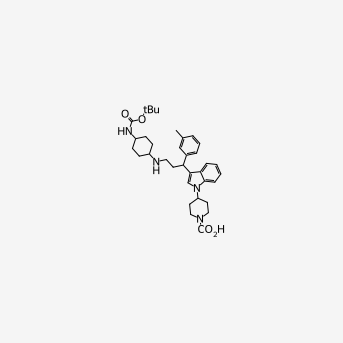 Cc1cccc(C(CCNC2CCC(NC(=O)OC(C)(C)C)CC2)c2cn(C3CCN(C(=O)O)CC3)c3ccccc23)c1